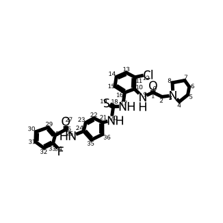 O=C(CN1CCCCC1)Nc1c(Cl)cccc1NC(=S)Nc1ccc(NC(=O)c2ccccc2F)cc1